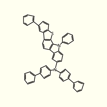 c1ccc(-c2ccc(N(c3ccc(-c4ccccc4)cc3)c3ccc4c(c3)c3ccc5c6cc(-c7ccccc7)ccc6sc5c3n4-c3ccccc3)cc2)cc1